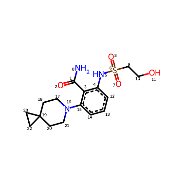 NC(=O)c1c(NS(=O)(=O)CCO)cccc1N1CCC2(CC1)CC2